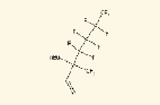 C=CC(CCCC)(C(F)(F)F)C(F)(F)C(F)(F)C(F)(F)C(F)(F)F